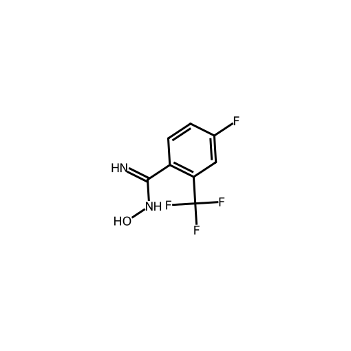 N=C(NO)c1ccc(F)cc1C(F)(F)F